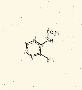 Nc1nccnc1NC(=O)O